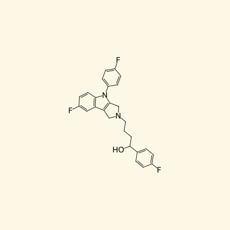 OC(CCCN1Cc2c(n(-c3ccc(F)cc3)c3ccc(F)cc23)C1)c1ccc(F)cc1